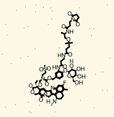 CC[C@@]1(OCN(CCS(C)(=O)=O)C(=O)OCc2ccc(O[C@@H]3O[C@H](CO)[C@H](O)[C@H](O)[C@H]3O)c(NC(=O)CCNC(=O)CCC(C)(C)OCC(C)NC(=O)CCN3C(=O)CCC3=O)c2)C(=O)OCc2c1cc1n(c2=O)Cc2c-1nc1cc(F)c(C)c3c1c2[C@@H](N)CC3